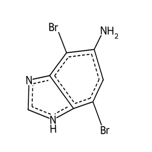 Nc1cc(Br)c2[nH]cnc2c1Br